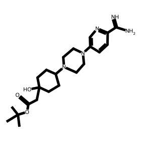 CC(C)(C)OC(=O)CC1(O)CCC(N2CCN(c3ccc(C(=N)N)nc3)CC2)CC1